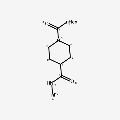 CCCCCCC(=O)N1CCC(C(=O)NCCC)CC1